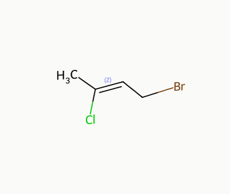 C/C(Cl)=C/CBr